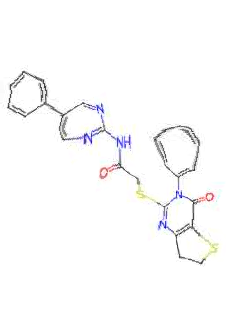 O=C(CSc1nc2c(c(=O)n1-c1ccccc1)SCC2)Nc1ncc(-c2ccccc2)cn1